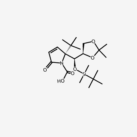 CC1(C)OC[C@H]([C@@H](O[Si](C)(C)C(C)(C)C)[C@]2(C(C)(C)C)C=CC(=O)N2C(=O)O)O1